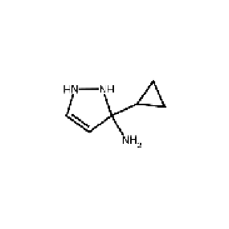 NC1(C2CC2)C=CNN1